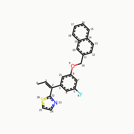 CC=C(c1cc(F)cc(OCc2ccc3ccccc3c2)c1)c1nccs1